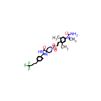 Cc1cc(N(C)C(N)=O)cc(C)c1C=CS(=O)(=O)N1CCC2(CC1)N=C(c1ccc(CCCC(F)(F)F)cc1)NC2=O